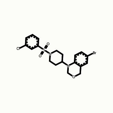 O=S(=O)(c1cccc(Cl)c1)N1CCC(N2COCc3cc(Br)ccc32)CC1